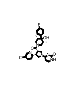 C[C@@H]1CN(C(=O)[C@@H]2CN(c3cc[nH]c(=O)n3)C[C@H]2c2ccc(Cl)cn2)C[C@H](C)C1(O)c1ccc(F)cc1